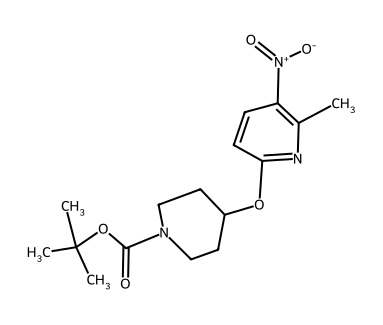 Cc1nc(OC2CCN(C(=O)OC(C)(C)C)CC2)ccc1[N+](=O)[O-]